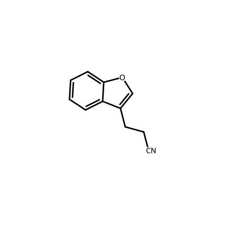 N#CCCc1coc2ccccc12